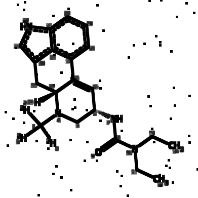 [2H]C([2H])([2H])N1C[C@@H](NC(=O)N(CC)CC)C=C2c3cccc4[nH]cc(c34)C[C@H]21